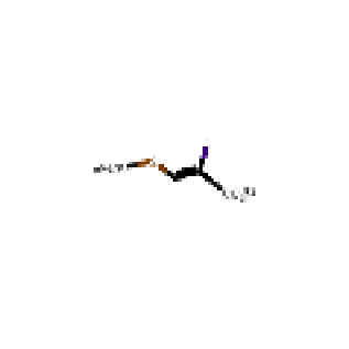 CCCCCSC=C(I)C(=O)OCC